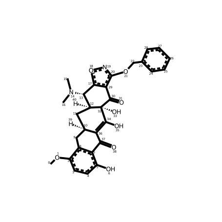 COc1ccc(O)c2c1C[C@H]1C[C@H]3[C@H](N(C)C)c4onc(OCc5ccccc5)c4C(=O)[C@@]3(O)C(O)=C1C2=O